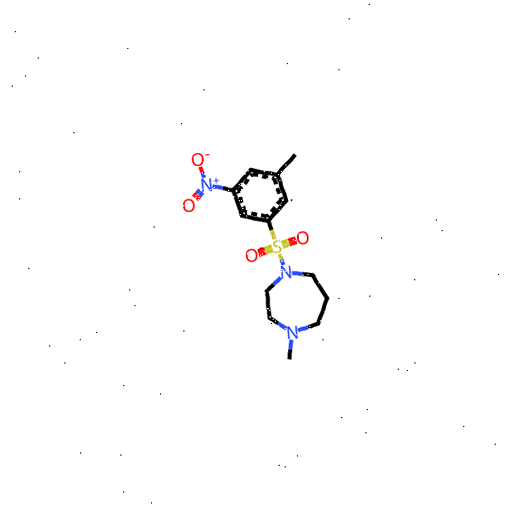 Cc1[c]c(S(=O)(=O)N2CCCN(C)CC2)cc([N+](=O)[O-])c1